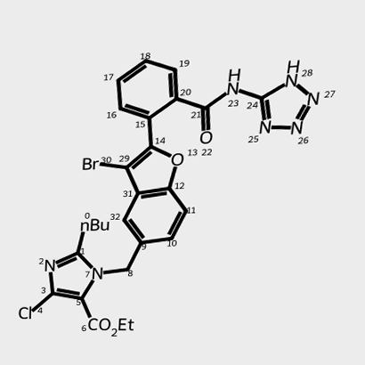 CCCCc1nc(Cl)c(C(=O)OCC)n1Cc1ccc2oc(-c3ccccc3C(=O)Nc3nnn[nH]3)c(Br)c2c1